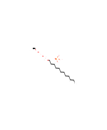 C=COOOOOCCCCCCCCCCCC.O=P(O)(O)O